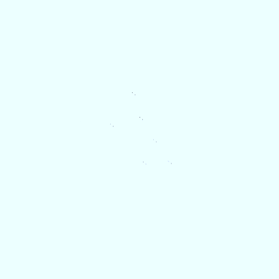 Cc1cccc(-c2nccn2-c2ccnc(N3CCCCC3)n2)n1